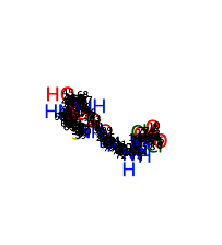 COc1cc(OC)c(Cl)c(NC(=O)N(C)c2cc(Nc3ccc(N4CCN(CC(=O)NCCOCCC(=O)N[C@H](C(=O)N5C[C@H](O)C[C@H]5C(=O)N[C@@H](C)c5ccc(-c6scnc6C)cc5)C(C)(C)C)CC4)cc3)ncn2)c1Cl